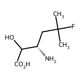 CC(C)(F)C[C@H](N)C(O)C(=O)O